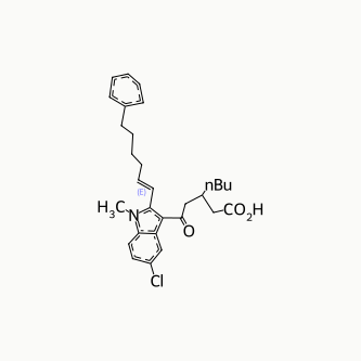 CCCCC(CC(=O)O)CC(=O)c1c(/C=C/CCCCc2ccccc2)n(C)c2ccc(Cl)cc12